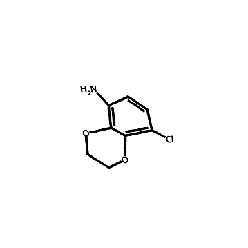 Nc1ccc(Cl)c2c1OCCO2